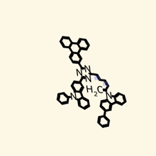 C=C(/C=C\C=C\c1nc(-c2ccc3c(c2)-c2ccccc2C2C=CC=CC32)nc(-c2ccc3c(c2)c2ccccc2n3-c2ccccc2)n1)n1c2ccccc2c2cc(-c3ccccc3)ccc21